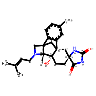 COc1ccc2c(c1)[C@]13CC24CN(CC=C(C)C)[C@H]4[C@]1(O)CC[C@@]1(C3)NC(=O)NC1=O